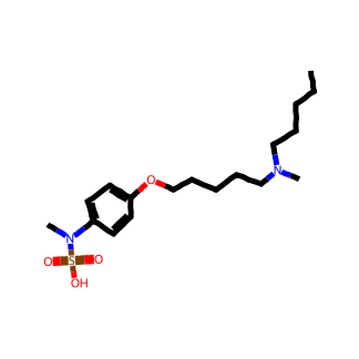 CCCCCN(C)CCCCCOc1ccc(N(C)S(=O)(=O)O)cc1